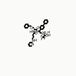 O=C(O)C(F)(F)F.O=C(O)CC(NC(=O)[C@H](COCc1ccccc1)NC(=O)CCCNc1ccccn1)c1ccc(-c2ccccc2)cc1